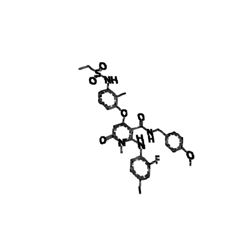 CCS(=O)(=O)Nc1cccc(Oc2cc(=O)n(C)c(Nc3ccc(I)cc3F)c2C(=O)NCc2ccc(OC)cc2)c1C